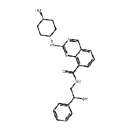 O=C(NC[C@@H](O)c1ccccc1)c1cccc2cnc(N[C@H]3CC[C@H](O)CC3)nc12